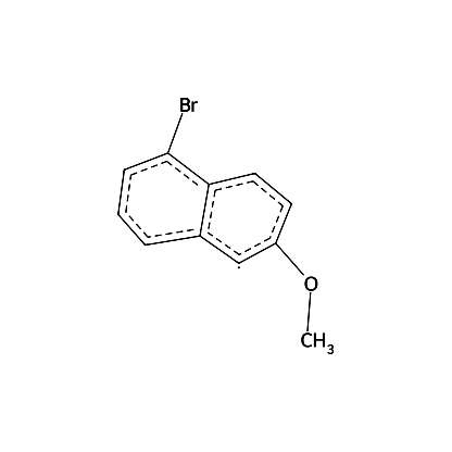 COc1[c]c2cccc(Br)c2cc1